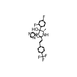 C[C@@H](NC(=O)C=Cc1ccc(C(F)(F)F)cc1)C(O)(Cn1cncn1)c1ccc(F)cc1F